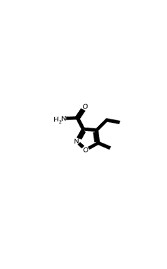 CCc1c(C(N)=O)noc1C